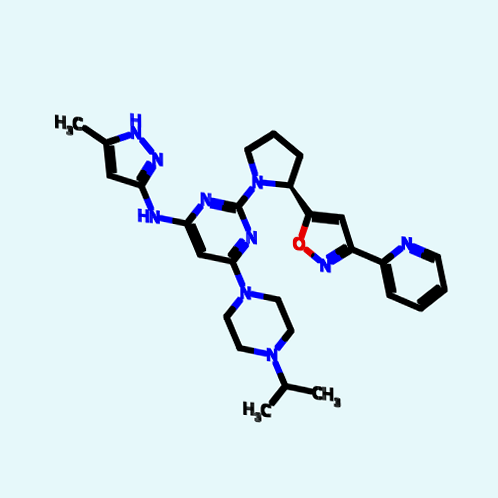 Cc1cc(Nc2cc(N3CCN(C(C)C)CC3)nc(N3CCC[C@H]3c3cc(-c4ccccn4)no3)n2)n[nH]1